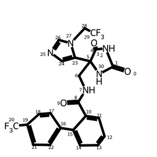 O=C1NC(=O)C(CNC(=O)c2ccccc2-c2ccc(C(F)(F)F)cc2)(c2cncn2CC(F)(F)F)N1